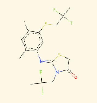 Cc1cc(C)c(SCC(C)(F)F)cc1/N=C1\SCC(=O)N1CC(C)(F)F